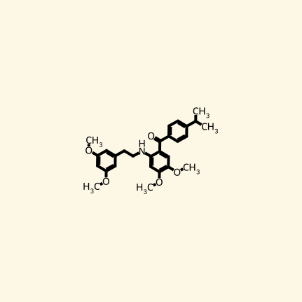 COc1cc(CCNc2cc(OC)c(OC)cc2C(=O)c2ccc(C(C)C)cc2)cc(OC)c1